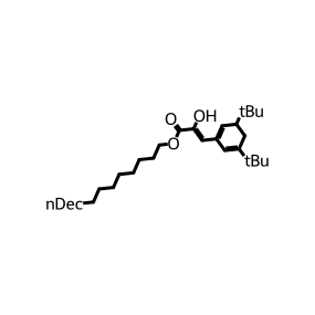 CCCCCCCCCCCCCCCCCCOC(=O)C(O)=CC1=CC(C(C)(C)C)CC(C(C)(C)C)=C1